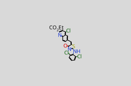 CCOC(=O)c1cnc2ccc(C=C3SC(Nc4c(Cl)cccc4Cl)=NC3=O)cc2c1Cl